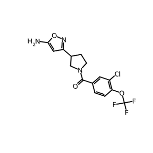 Nc1cc(C2CCN(C(=O)c3ccc(OC(F)(F)F)c(Cl)c3)C2)no1